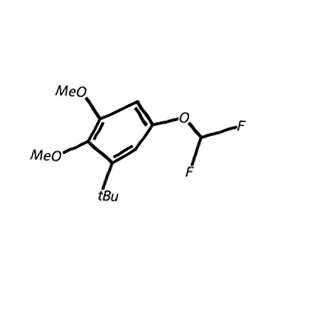 COc1cc(OC(F)F)cc(C(C)(C)C)c1OC